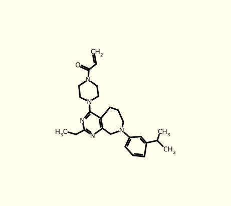 C=CC(=O)N1CCN(c2nc(CC)nc3c2CCCN(c2cccc(C(C)C)c2)C3)CC1